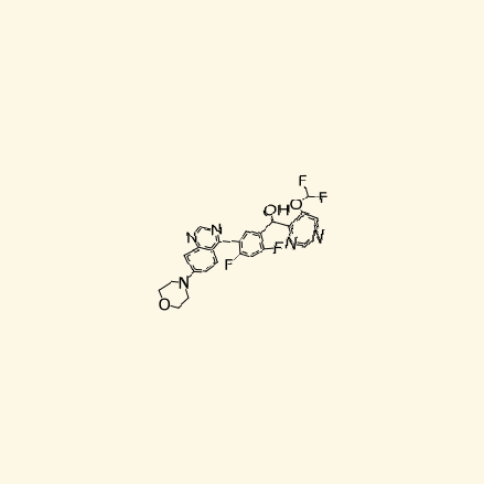 OC(c1cc(-c2ncnc3cc(N4CCOCC4)ccc23)c(F)cc1F)c1ncncc1OC(F)F